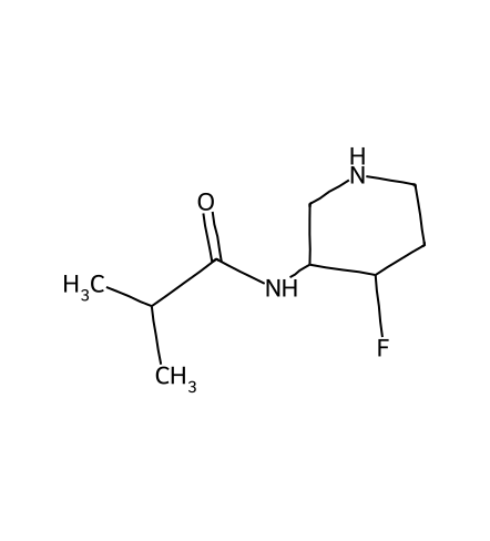 CC(C)C(=O)NC1CNCCC1F